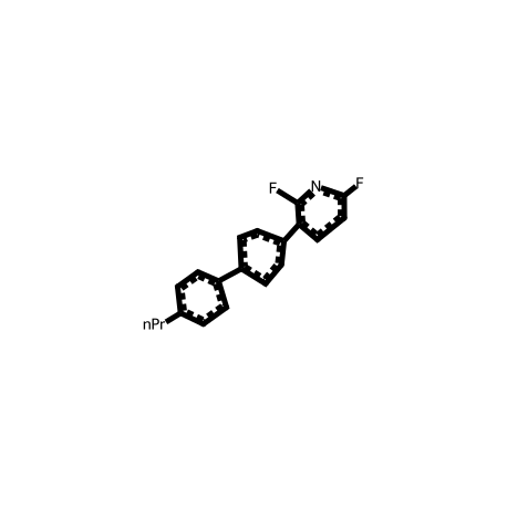 CCCc1ccc(-c2ccc(-c3ccc(F)nc3F)cc2)cc1